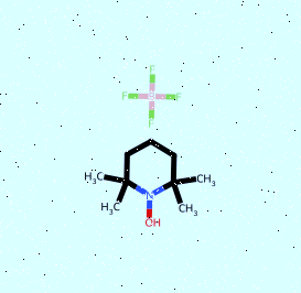 CC1(C)CCCC(C)(C)N1O.F[B-](F)(F)F